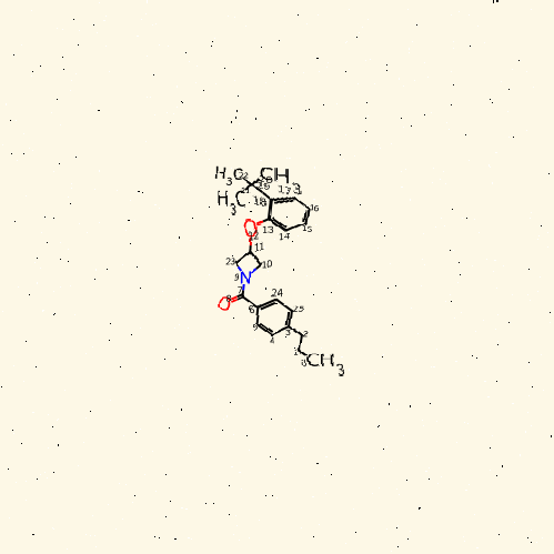 CCCc1ccc(C(=O)N2CC(Oc3ccccc3C(C)(C)C)C2)cc1